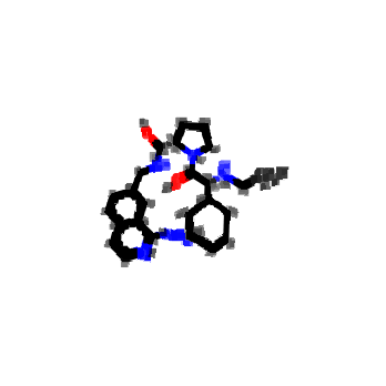 Nc1nccc2ccc(CNC(=O)[C@@H]3CCCN3C(=O)[C@H](NCC(=O)O)C3CCCCC3)cc12